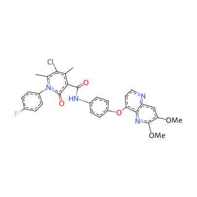 COc1cc2nccc(Oc3ccc(NC(=O)c4c(C)c(Cl)c(C)n(-c5ccc(F)cc5)c4=O)cc3)c2nc1OC